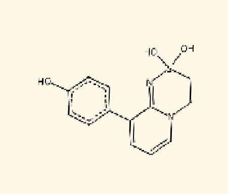 Oc1ccc(C2=CC=CN3CCS(O)(O)N=C23)cc1